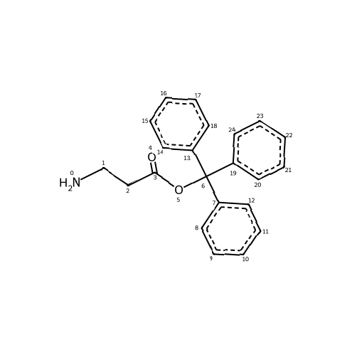 NCCC(=O)OC(c1ccccc1)(c1ccccc1)c1ccccc1